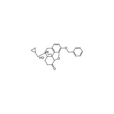 O=C1CC[C@@]2(O)C3Cc4ccc(OCc5ccccc5)c5c4C2(CCN3CC2CC2)C1O5